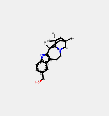 CC[C@H]1C[C@H]2C[C@H]3c4[nH]c5ccc(CO)cc5c4CCN(C2)C13